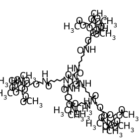 CC(=O)NC1C(OCCOCCNC(=O)CCCCCNC(=O)CN(CC(=O)NCCCCCC(=O)NCCOCCOC2OC(COC(C)=O)C(OC(C)=O)C(OC(C)=O)C2NC(C)=O)C(CCNC(=O)C2CCC(OP(OCCC#N)N(C(C)C)C(C)C)CC2)C(=O)NCCCCCC(=O)NCCOCCOC2OC(COC(C)=O)C(OC(C)=O)C(OC(C)=O)C2NC(C)=O)OC(COC(C)=O)C(OC(C)=O)C1OC(C)=O